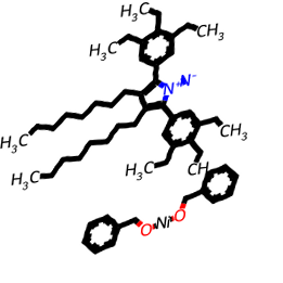 CCCCCCCCC1=C(c2cc(CC)c(CC)c(CC)c2)[N+](=[N-])C(c2cc(CC)c(CC)c(CC)c2)=C1CCCCCCCC.c1ccc(C[O][Ni][O]Cc2ccccc2)cc1